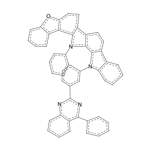 c1ccc(-c2nc(-c3cccc(-n4c5ccccc5c5ccc6c7ccc8oc9ccccc9c8c7n(-c7ccccc7)c6c54)c3)nc3ccccc23)cc1